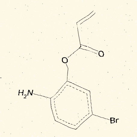 C=CC(=O)Oc1cc(Br)ccc1N